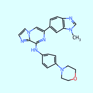 Cn1cnc2ccc(-c3cn4ccnc4c(Nc4ccc(N5CCOCC5)cc4)n3)cc21